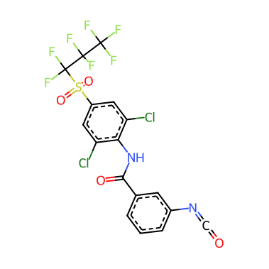 O=C=Nc1cccc(C(=O)Nc2c(Cl)cc(S(=O)(=O)C(F)(F)C(F)(F)C(F)(F)F)cc2Cl)c1